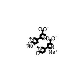 Cn1cc(-c2cncc(C(=O)[O-])c2)ccc1=O.Cn1cc(-c2cncc(C(=O)[O-])c2)ccc1=O.[Na+].[Na+]